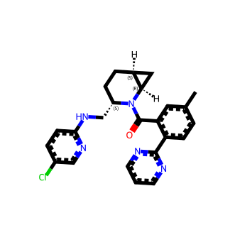 Cc1ccc(-c2ncccn2)c(C(=O)N2[C@H](CNc3ccc(Cl)cn3)CC[C@H]3C[C@H]32)c1